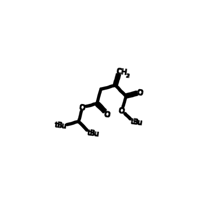 C=C(CC(=O)OC(C(C)(C)C)C(C)(C)C)C(=O)OC(C)(C)C